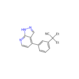 CCC(C#N)(CC)c1cccc(-c2ccnc3[nH]ncc23)c1